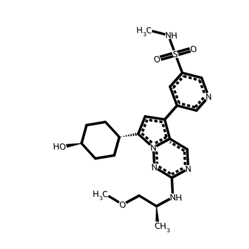 CNS(=O)(=O)c1cncc(-c2cc([C@H]3CC[C@H](O)CC3)n3nc(N[C@@H](C)COC)ncc23)c1